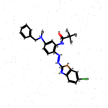 CCN(Cc1ccccc1)c1ccc(N=Nc2nc3ccc(Cl)cc3s2)c(NC(=O)C(CC)(CC)CC)c1